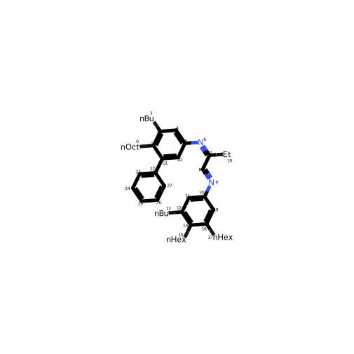 CCCCCCCCc1c(CCCC)cc(N=C(C=Nc2cc(CCCC)c(CCCCCC)c(CCCCCC)c2)CC)cc1-c1ccccc1